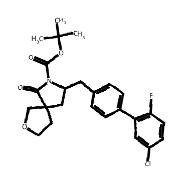 CC(C)(C)OC(=O)N1C(=O)C2(CCOC2)CC1Cc1ccc(-c2cc(Cl)ccc2F)cc1